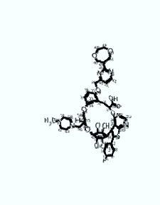 Cc1c(Cl)c2c(Cl)c(C)c1-c1c(-c3ccc(F)cc3)sc3ncnc(c13)OC(C(=O)O)Cc1cc(ccc1OCc1ccnc(C3COCCOC3)n1)OC[C@@H](CN1CCN(C)CC1)O2